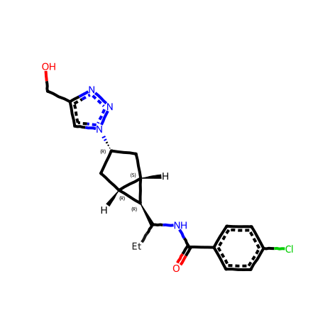 CCC(NC(=O)c1ccc(Cl)cc1)[C@H]1[C@@H]2C[C@H](n3cc(CO)nn3)C[C@@H]21